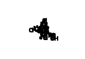 C[C@H](c1ccc(Cl)cc1)N1C(=O)c2cc(I)c(Cl)cc2N(CCCCC(=O)O)C(=O)[C@@H]1c1ccc(Cl)cc1